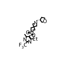 CCc1nc(C(F)(F)F)nc(C)c1S(=O)(=O)N1CC2(CN(C[C@@H]3CCOC3)C2)C1